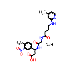 Cc1ccnc(NCCCC(=O)NCC(=O)NC(CC(=O)O)c2ccc(C)c([N+](=O)[O-])c2)c1.[NaH]